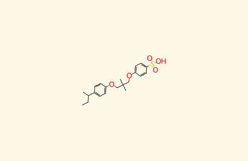 CCC(C)c1ccc(OCC(C)(C)COc2ccc(S(=O)(=O)O)cc2)cc1